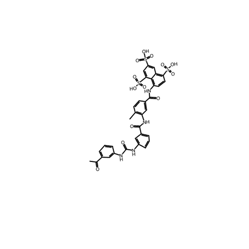 CC(=O)c1cccc(NC(=O)Nc2cccc(C(=O)Nc3cc(C(=O)Nc4ccc(S(=O)(=O)O)c5cc(S(=O)(=O)O)cc(S(=O)(=O)O)c45)ccc3C)c2)c1